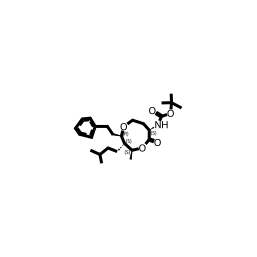 CC(C)CC[C@H]1[C@H](C)OC(=O)[C@@H](NC(=O)OC(C)(C)C)CCO[C@@H]1CCc1ccccc1